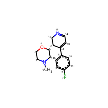 CN1CCOCC1.Fc1ccc(C2=CC=NCC2)cc1